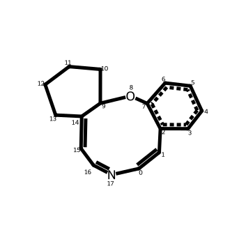 C1=Cc2ccccc2OC2CCCCC2=CC=N1